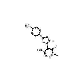 Cc1cc(-c2ccc(C(F)(F)F)cc2)nn1-c1c(O)cnn(C)c1=O